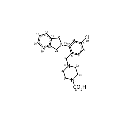 O=C(O)N1CCN(Cc2ccc(Cl)cc2N2Cc3cccnc3C2)CC1